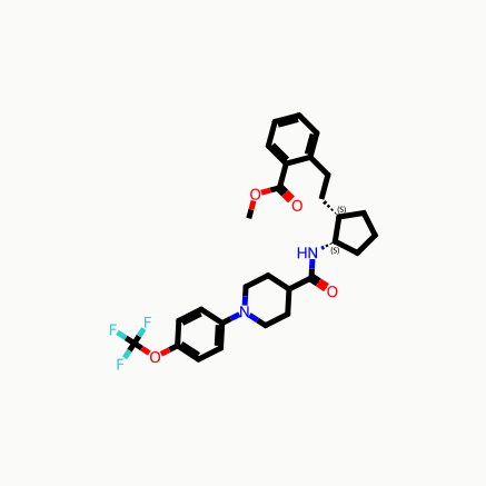 COC(=O)c1ccccc1CC[C@@H]1CCC[C@@H]1NC(=O)C1CCN(c2ccc(OC(F)(F)F)cc2)CC1